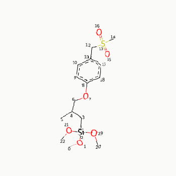 CO[Si](CC(C)COc1ccc(CS(C)(=O)=O)cc1)(OC)OC